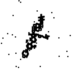 CC(C)(C)[Si](C)(C)O[C@@H]1CO[C@H]2[C@@H]1OC[C@H]2Oc1c(I)c2nc(-c3c(F)cc(N4CCOCC4)cc3F)ccc2n1COCC[Si](C)(C)C